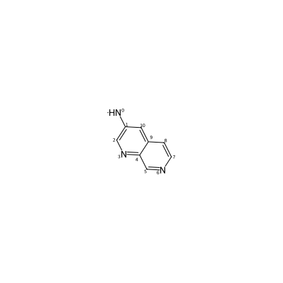 [NH]c1cnc2cnccc2c1